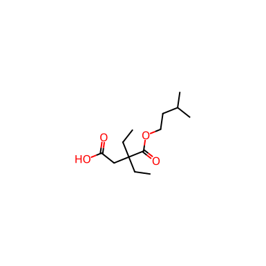 CCC(CC)(CC(=O)O)C(=O)OCCC(C)C